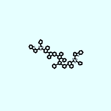 c1ccc(-c2cc(-c3cccc(-c4ccc(-c5nc(-c6ccccc6)nc(-c6cccc7c6sc6ccccc67)n5)c5ccccc45)c3)cc(-c3cc(-c4ccc5cc(-c6ccc(-c7nc(-c8ccccc8)nc(-c8cccc9c8sc8ccccc89)n7)c7ccccc67)c6ccccc6c5c4)c4ccccc4c3-c3ccccc3)c2)cc1